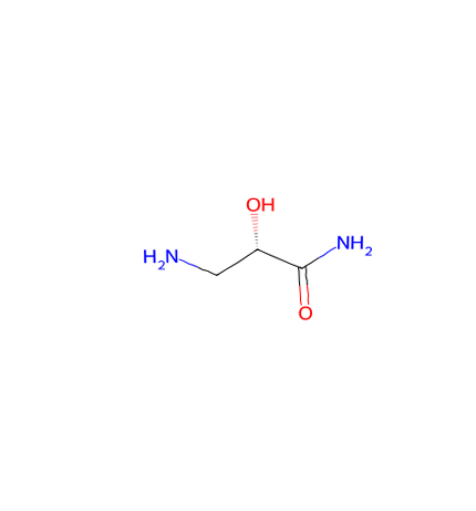 NC[C@H](O)C(N)=O